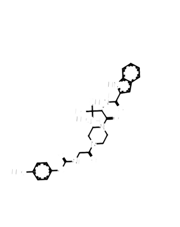 Cc1ccc(OC(=O)NCC(=O)N2CCN(C(=O)[C@@H](NC(=O)c3cc4ccccc4[nH]3)C(C)(C)C)[C@@H](C)C2)cc1